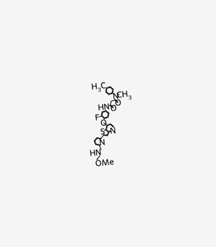 COCCNCc1cccc(-c2cc3nccc(Oc4ccc(NC(=O)CC(=O)N(C)c5ccc(C)cc5)cc4F)c3s2)n1